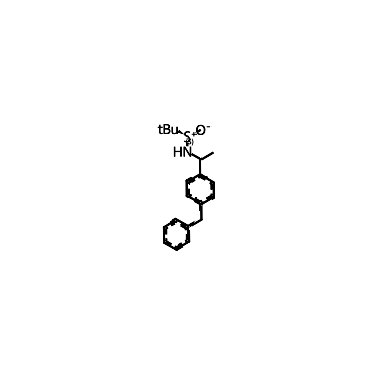 CC(N[S@+]([O-])C(C)(C)C)c1ccc(Cc2ccccc2)cc1